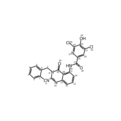 N#Cc1ccccc1Cn1cnc2cccc(NC(=O)c3cc(Cl)c(O)c(Cl)n3)c2c1=O